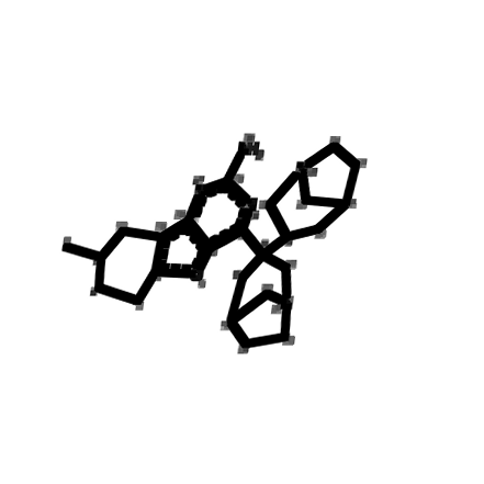 CC1CCc2oc3c(C4(C5CC6CCN(C6)C5)CC5CCN(C5)C4)nc(N)nc3c2C1